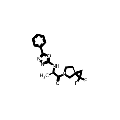 C[C@@H](Nc1nnc(-c2ccccc2)o1)C(=O)N1CC[C@@]2(C1)CC2(F)F